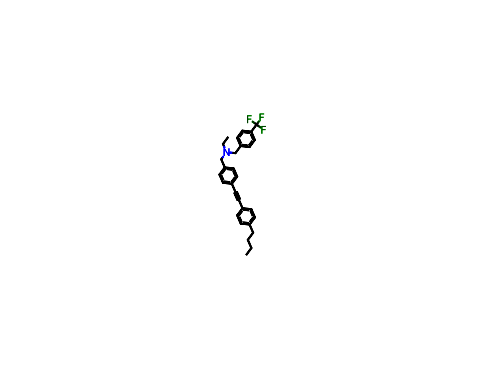 CCCCc1ccc(C#Cc2ccc(CN(CC)Cc3ccc(C(F)(F)F)cc3)cc2)cc1